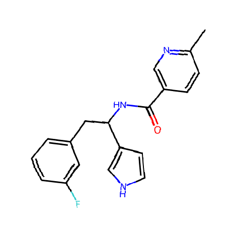 Cc1ccc(C(=O)NC(Cc2cccc(F)c2)c2cc[nH]c2)cn1